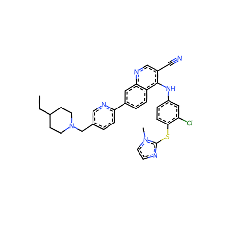 CCC1CCN(Cc2ccc(-c3ccc4c(Nc5ccc(Sc6nccn6C)c(Cl)c5)c(C#N)cnc4c3)nc2)CC1